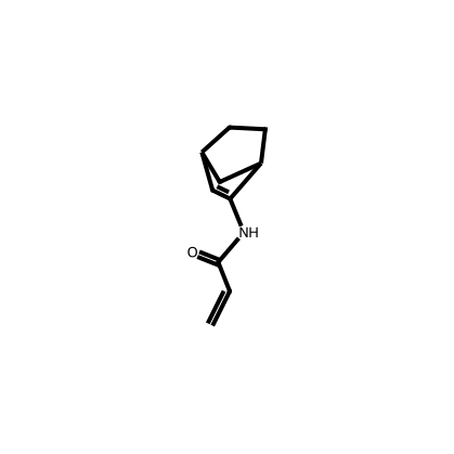 C=CC(=O)NC1=CC2CCC1C2